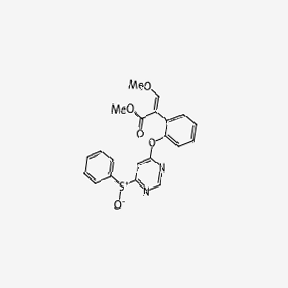 COC=C(C(=O)OC)c1ccccc1Oc1cc([S+]([O-])c2ccccc2)ncn1